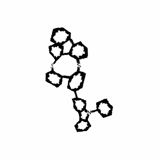 c1ccc(-c2cccc3c2-c2ccccc2Sc2ccccc2-c2cc(-c4ccc5c6ccccc6n(-c6ccccc6)c5c4)ccc2S3)cc1